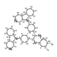 Cc1cc2nc(-c3ccc(-n4c5ccccc5c5ccncc54)cc3)c(-c3ccc(-n4c5ccccc5c5ccncc54)cc3)nc2cc1C